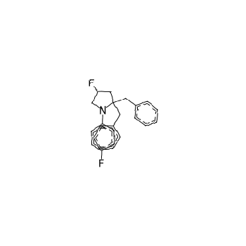 Fc1ccc(N2CC(F)CC2(Cc2ccccc2)Cc2ccccc2)cc1